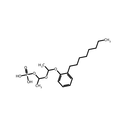 CCCCCCCCc1ccccc1OC(C)OC(C)OP(=O)(O)O